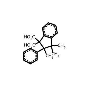 CC1(C)c2ccccc2C(C(=O)O)(C(=O)O)C1(C)c1ccccc1